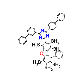 Bc1c(B)c(-c2ccccc2)c2c(oc3c(B)c(-c4nc(-c5ccc(-c6ccccc6)cc5)nc(-c5cccc(-c6ccccc6)c5)n4)c(B)c(B)c32)c1B